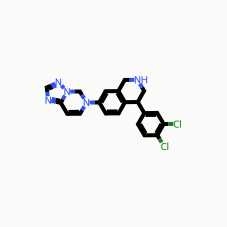 Clc1ccc(C2CNCc3cc(N4C=Cc5ncnn5C4)ccc32)cc1Cl